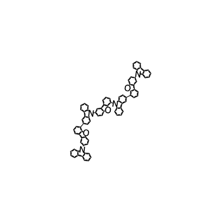 c1cc(-c2ccc3c(c2)c2ccccc2n3-c2ccc3oc4c(-n5c6ccccc6c6cc(-c7cccc8c7oc7ccc(-n9c%10ccccc%10c%10ccccc%109)cc78)ccc65)cccc4c3c2)c2oc3ccc(-n4c5ccccc5c5ccccc54)cc3c2c1